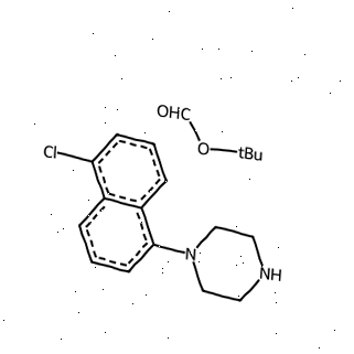 CC(C)(C)OC=O.Clc1cccc2c(N3CCNCC3)cccc12